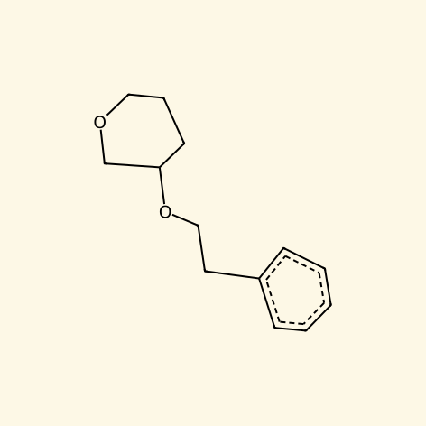 c1ccc(CCOC2CCCOC2)cc1